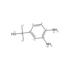 CC(C)(O)c1ccc(N)c(N)c1